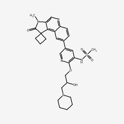 CN1C(=O)C2(CCC2)c2c1cnc1ccc(-c3cnc(OCC(O)CN4CCCCC4)c(NS(C)(=O)=O)c3)cc21